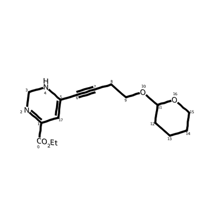 CCOC(=O)C1=NCNC(C#CCCOC2CCCCO2)=C1